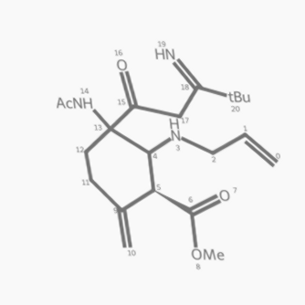 C=CCNC1[C@@H](C(=O)OC)C(=C)CCC1(NC(C)=O)C(=O)CC(=N)C(C)(C)C